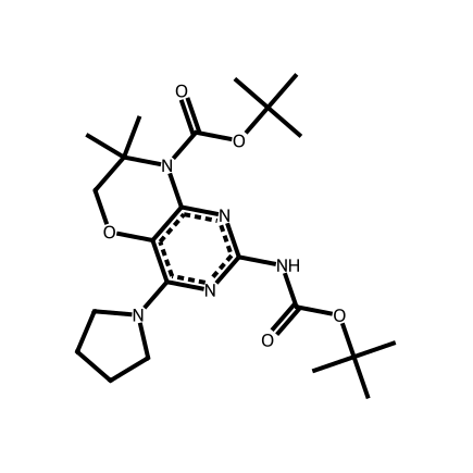 CC(C)(C)OC(=O)Nc1nc(N2CCCC2)c2c(n1)N(C(=O)OC(C)(C)C)C(C)(C)CO2